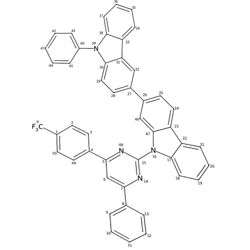 FC(F)(F)c1ccc(-c2cc(-c3ccccc3)nc(-n3c4ccccc4c4ccc(-c5ccc6c(c5)c5ccccc5n6-c5ccccc5)cc43)n2)cc1